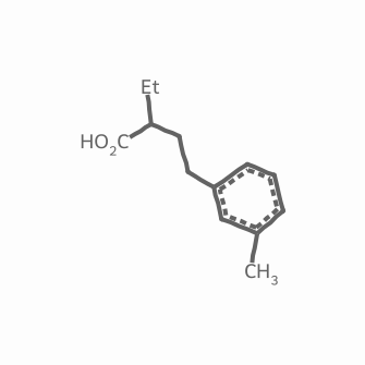 CCC(CCc1cccc(C)c1)C(=O)O